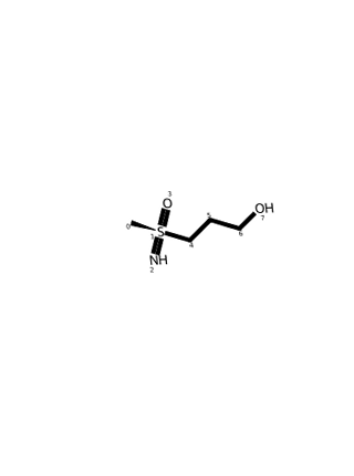 C[S@@](=N)(=O)CCCO